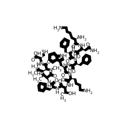 CC(C)C[C@@H](C(=O)N[C@@H](CS)C(=O)O)N(C)C(=O)[C@@H](NC(=O)[C@H](Cc1ccccc1)NC(=O)[C@@H](NC(=O)[C@H](CCCCN)NC(=O)[C@@H](Cc1c[nH]c2ccccc12)NC(=O)[C@H](Cc1ccccc1)NC(=O)[C@H](Cc1ccccc1)NC(=O)[C@H](CC(N)=O)NC(=O)[C@@H](N)CCCCN)[C@@H](C)O)[C@@H](C)O